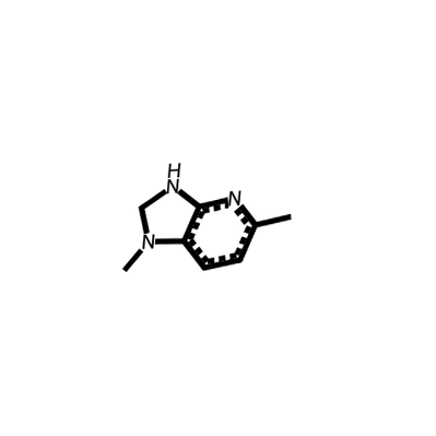 Cc1ccc2c(n1)NCN2C